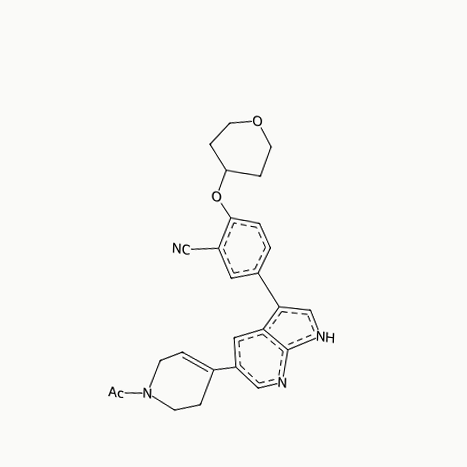 CC(=O)N1CC=C(c2cnc3[nH]cc(-c4ccc(OC5CCOCC5)c(C#N)c4)c3c2)CC1